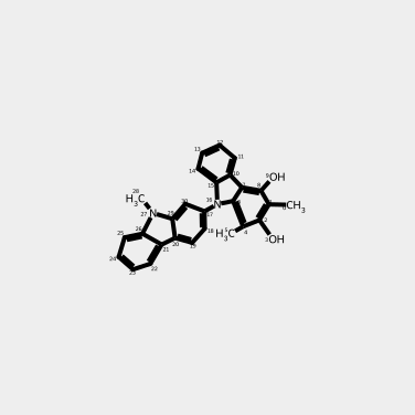 Cc1c(O)c(C)c2c(c1O)c1ccccc1n2-c1ccc2c3ccccc3n(C)c2c1